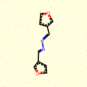 C(=NN=Cc1ccoc1)c1ccoc1